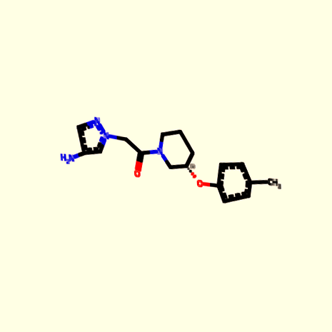 Cc1ccc(O[C@H]2CCCN(C(=O)Cn3cc(N)cn3)C2)cc1